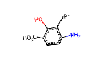 CCCc1c(N)ccc(C(=O)O)c1O